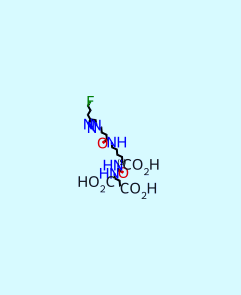 O=C(O)CCC(NC(=O)N[C@@H](CCCCNC(=O)CCCn1cc(CCCF)nn1)C(=O)O)C(=O)O